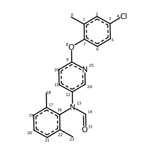 Cc1cc(Cl)ccc1Oc1ccc(N(C=O)c2c(C)cccc2C)cn1